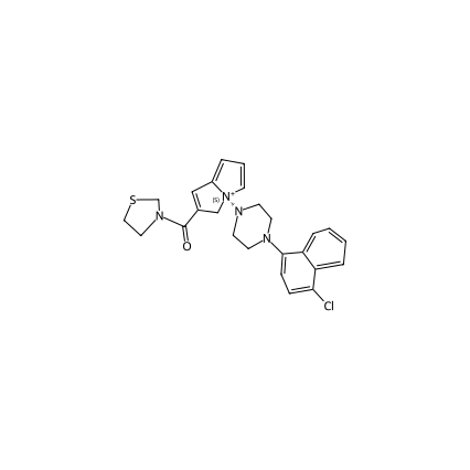 O=C(C1=CC2=CC=C[N@@+]2(N2CCN(c3ccc(Cl)c4ccccc34)CC2)C1)N1CCSC1